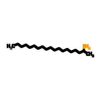 CCCCCCCCCCCCCCCCCC(C)P